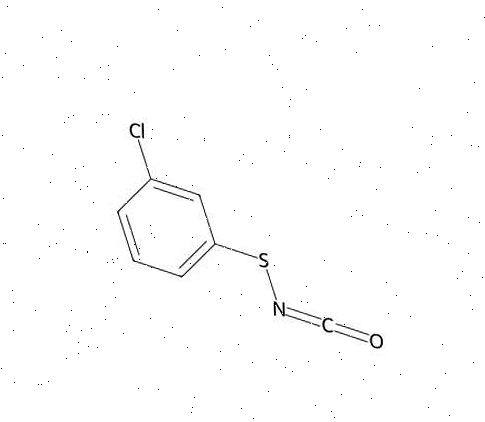 O=C=NSc1cccc(Cl)c1